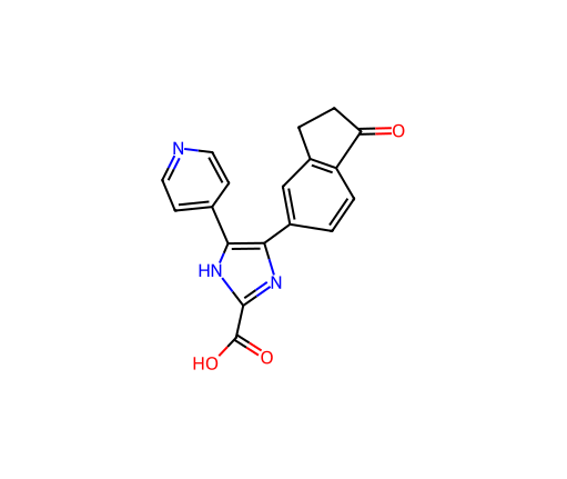 O=C(O)c1nc(-c2ccc3c(c2)CCC3=O)c(-c2ccncc2)[nH]1